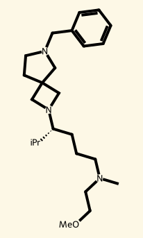 COCCN(C)CCC[C@H](C(C)C)N1CC2(CCN(Cc3ccccc3)C2)C1